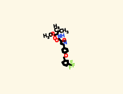 COC(=O)C(NC(=O)c1cc(-c2ccc(OCc3cccc(C(F)(F)F)c3)cc2)no1)C(C)C